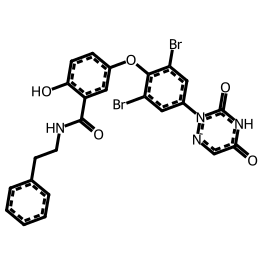 O=C(NCCc1ccccc1)c1cc(Oc2c(Br)cc(-n3ncc(=O)[nH]c3=O)cc2Br)ccc1O